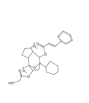 CC1CCC2C1C(OC(=O)/C=C/c1ccccc1)C1(C3CCCCC3)CC(OC(=O)CO)C2(C)O1